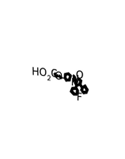 O=C(O)COC[C@H]1CC[C@H](Cn2nc(-c3cccc(F)c3)c(-c3ccccc3)cc2=O)CC1